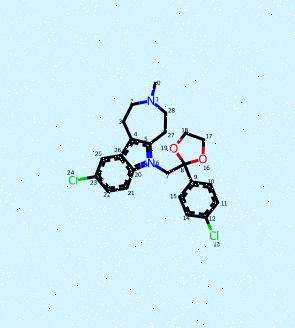 CN1CCc2c(n(CC3(c4ccc(Cl)cc4)OCCO3)c3ccc(Cl)cc23)CC1